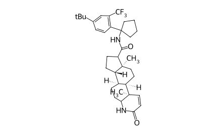 CC(C)(C)c1ccc(C2(NC(=O)C3CC[C@H]4[C@@H]5CCC6NC(=O)C=C[C@]6(C)[C@@H]5CC[C@]34C)CCCC2)c(C(F)(F)F)c1